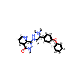 C[C@H](Nc1nn(C)c(=O)c2cccnc12)[C@H](c1ccc(Oc2ccccc2)cc1)N(C)C